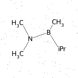 CB(C(C)C)N(C)C